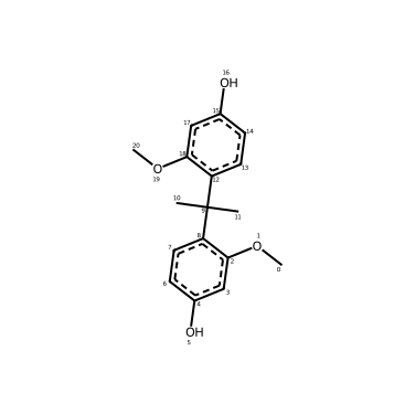 COc1cc(O)ccc1C(C)(C)c1ccc(O)cc1OC